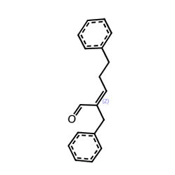 O=C/C(=C\CCc1ccccc1)Cc1ccccc1